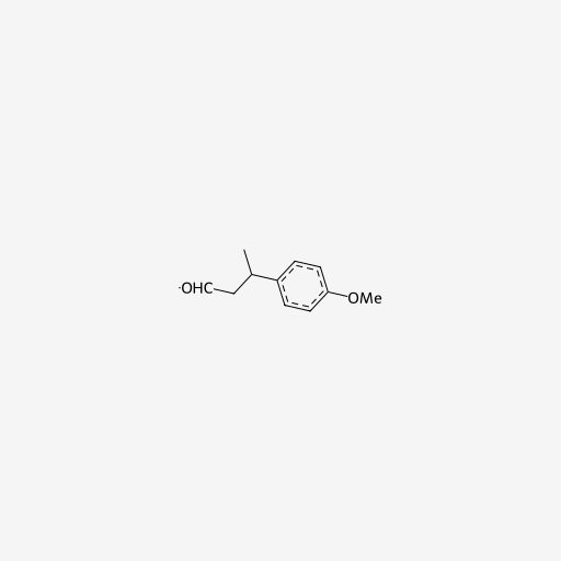 COc1ccc(C(C)C[C]=O)cc1